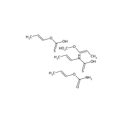 CC=CNC(O)=S.CC=COC(=O)O.CC=COC(N)=O.CC=COC(O)=S